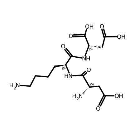 NCCCC[C@H](NC(=O)[C@@H](N)CC(=O)O)C(=O)N[C@@H](CC(=O)O)C(=O)O